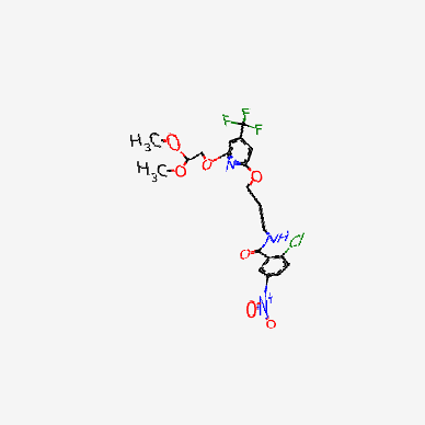 COC(COc1cc(C(F)(F)F)cc(OCCCNC(=O)c2cc([N+](=O)[O-])ccc2Cl)n1)OC